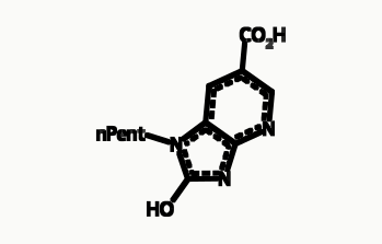 CCCCCn1c(O)nc2ncc(C(=O)O)cc21